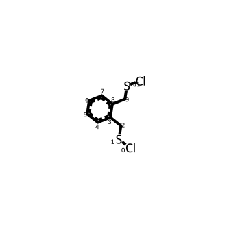 ClSCc1ccccc1CSCl